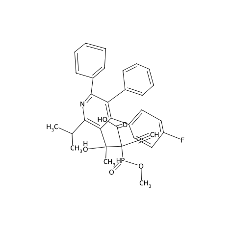 C#CC(C(=O)O)([PH](=O)OC)C(C)(O)c1c(C(C)C)nc(-c2ccccc2)c(-c2ccccc2)c1-c1ccc(F)cc1